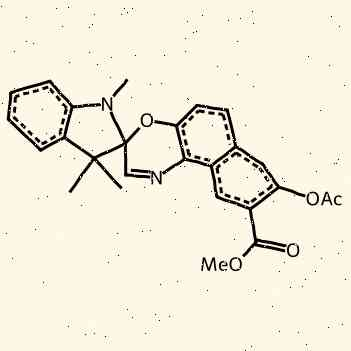 COC(=O)c1cc2c3c(ccc2cc1OC(C)=O)OC1(C=N3)N(C)c2ccccc2C1(C)C